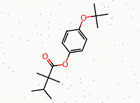 CC(C)C(C)(C)C(=O)Oc1ccc(OC(C)(C)C)cc1